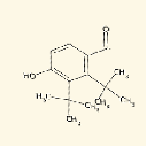 CC(C)(C)c1c(O)ccc([C]=O)c1C(C)(C)C